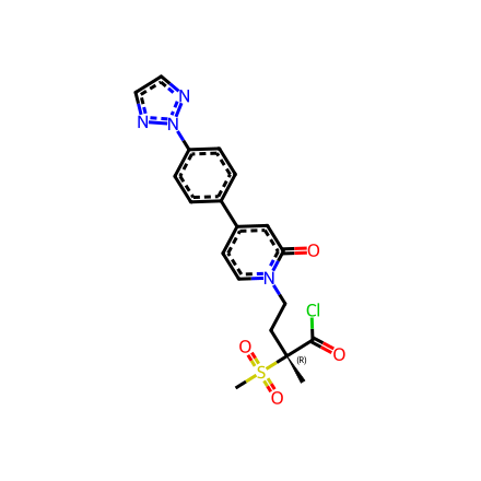 C[C@@](CCn1ccc(-c2ccc(-n3nccn3)cc2)cc1=O)(C(=O)Cl)S(C)(=O)=O